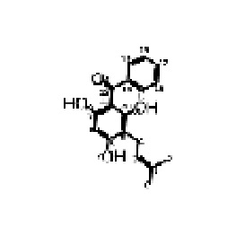 CC(C)=CCc1c(O)cc(O)c(C(=O)c2ccccc2)c1O